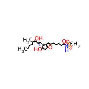 CCCCC(C)[C@H](O)/C=C/[C@@H]1c2cc(CCCCC(=O)NS(C)(=O)=O)oc2C[C@H]1O